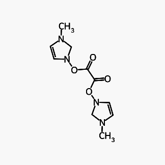 CN1C=CN(OC(=O)C(=O)ON2C=CN(C)C2)C1